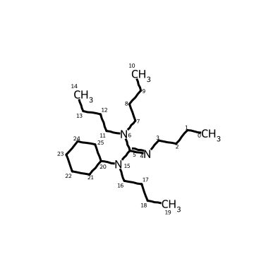 CCCC/N=C(\N(CCCC)CCCC)N(CCCC)C1CCCCC1